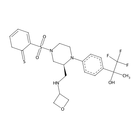 CC(O)(c1ccc(N2CCN(S(=O)(=O)C3=CC=CCC3=S)C[C@@H]2CNC2COC2)cc1)C(F)(F)F